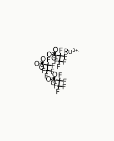 O=S(=O)([O-])C(F)(F)C(F)(F)F.O=S(=O)([O-])C(F)(F)C(F)(F)F.O=S(=O)([O-])C(F)(F)C(F)(F)F.[Ru+3]